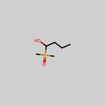 CCCC(O)P(C)(C)=O